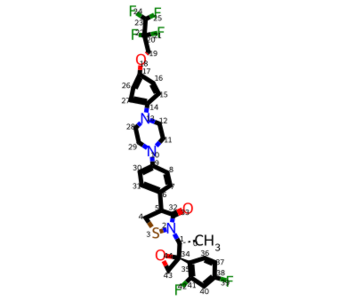 C[C@@H](N1SCC(c2ccc(N3CCN(c4ccc(OCC(F)(F)C(F)F)cc4)CC3)cc2)C1=O)[C@]1(c2ccc(F)cc2F)CO1